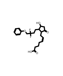 O=C(O)CCC/C=C\CC1C(=O)CC(O)C1CCC(F)(F)COc1ccccc1